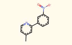 Cc1ccnc(-c2cccc([N+](=O)[O-])c2)c1